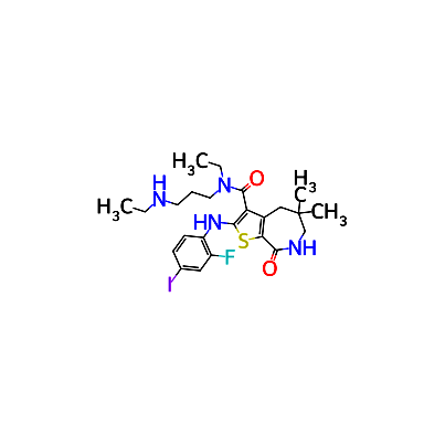 CCNCCCN(CC)C(=O)c1c(Nc2ccc(I)cc2F)sc2c1CC(C)(C)CNC2=O